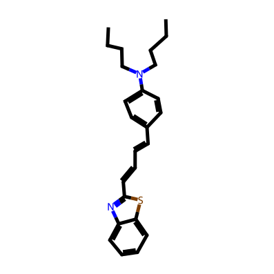 CCCCN(CCCC)c1ccc(C=CC=Cc2nc3ccccc3s2)cc1